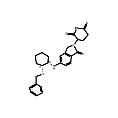 O=C1CCC(N2Cc3cc(N[C@H]4CCCC[C@H]4OCc4ccccc4)ccc3C2=O)C(=O)N1